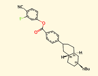 CCCC[C@H]1CC[C@@H]2CC(c3ccc(C(=O)Oc4ccc(C#N)c(F)c4)cc3)CC[C@H]2C1